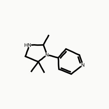 CC1NCC(C)(C)N1c1ccncc1